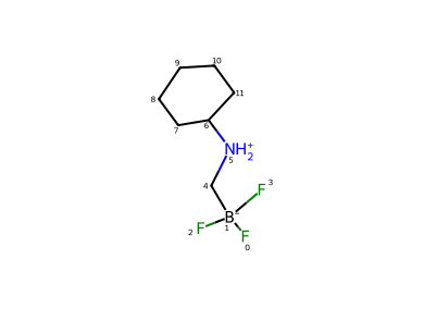 F[B-](F)(F)C[NH2+]C1CCCCC1